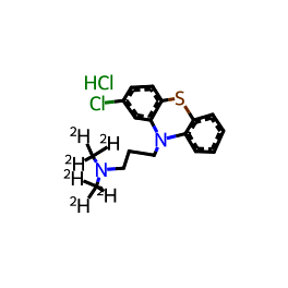 Cl.[2H]C([2H])([2H])N(CCCN1c2ccccc2Sc2ccc(Cl)cc21)C([2H])([2H])[2H]